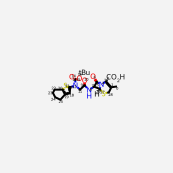 CC1=C(C(=O)O)N2C(=O)C(NC(=O)CN(C(=O)OC(C)(C)C)c3cc4c(s3)CCCC4)[C@@H]2SC1